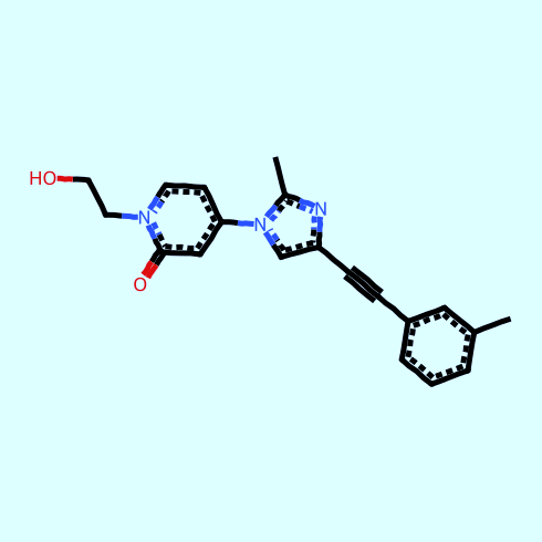 Cc1cccc(C#Cc2cn(-c3ccn(CCO)c(=O)c3)c(C)n2)c1